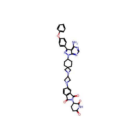 Nc1ncnc2c1c(-c1ccc(Oc3ccccc3)cc1)nn2C1CCC2(CC1)CN(C1CN(c3ccc4c(c3)C(=O)N(C3CCC(=O)NC3=O)C4=O)C1)C2